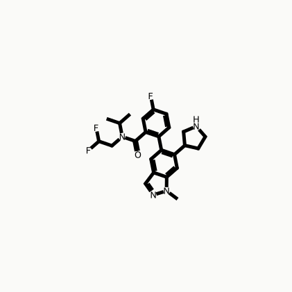 CC(C)N(CC(F)F)C(=O)c1cc(F)ccc1-c1cc2cnn(C)c2cc1C1CCNC1